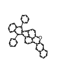 c1ccc(-c2c3ccccc3c(-c3ccccc3)c3c4ccc5c6cc7ccccc7cc6oc6ccc(c23)c4c65)cc1